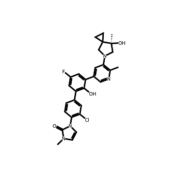 Cc1ncc(-c2cc(F)cc(-c3ccc(-n4ccn(C)c4=O)c(Cl)c3)c2O)cc1N1CC2(CC2)[C@@](C)(O)C1